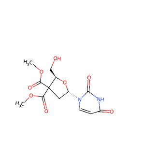 COC(=O)C1(C(=O)OC)C[C@@H](n2ccc(=O)[nH]c2=O)O[C@@H]1CO